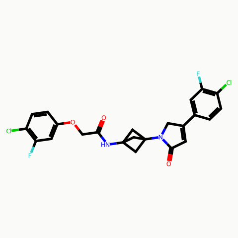 O=C(COc1ccc(Cl)c(F)c1)NC12CC(N3CC(c4ccc(Cl)c(F)c4)=CC3=O)(C1)C2